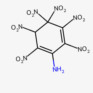 NC1=C([N+](=O)[O-])C([N+](=O)[O-])C([N+](=O)[O-])([N+](=O)[O-])C([N+](=O)[O-])=C1[N+](=O)[O-]